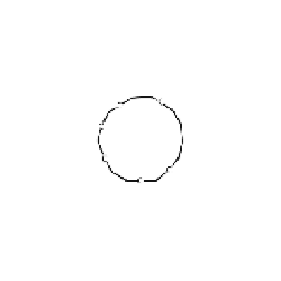 [CH]1CCCCCCCCCCCCCCCC1